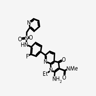 CCn1c(N)c(C(=O)NC)c(=O)c2ccc(-c3ccc(NS(=O)(=O)Cc4ccccn4)c(F)c3)nc21